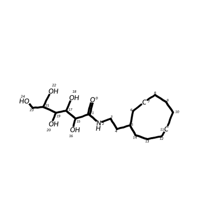 O=C(NCCC1CCCCCCCCC1)C(O)C(O)C(O)C(O)CO